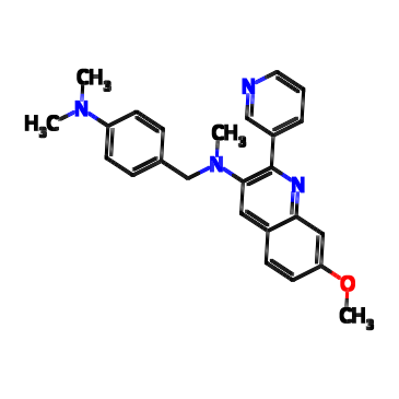 COc1ccc2cc(N(C)Cc3ccc(N(C)C)cc3)c(-c3cccnc3)nc2c1